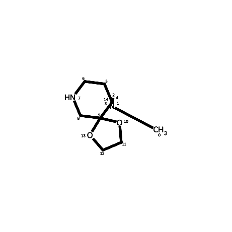 CN1CCC2(CCNCC23OCCO3)C1